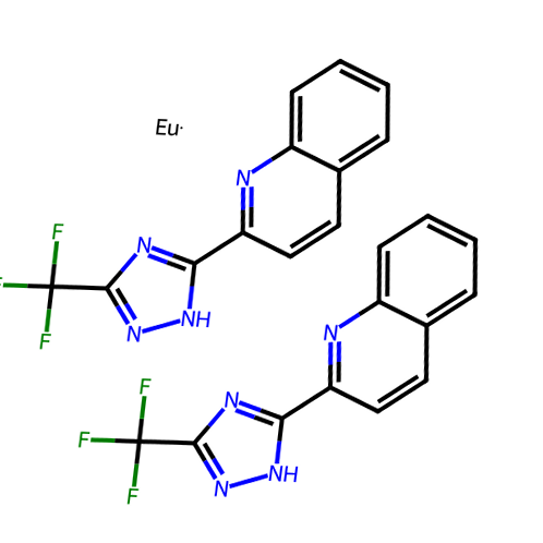 FC(F)(F)c1n[nH]c(-c2ccc3ccccc3n2)n1.FC(F)(F)c1n[nH]c(-c2ccc3ccccc3n2)n1.[Eu]